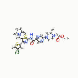 CCOC(=O)CN1CCN(c2cnc(C(=O)Nc3nc(-c4cc(Cl)cs4)c(CN4CCC[C@H]4C)s3)cn2)C[C@@H]1C